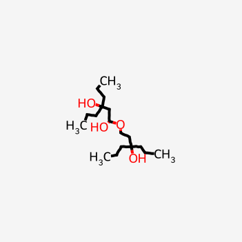 CCCC(O)(CCC)CCOC(O)CC(O)(CCC)CCC